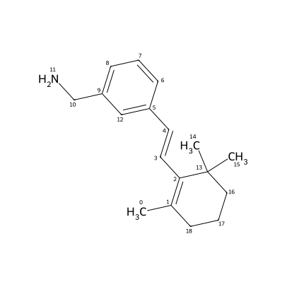 CC1=C(C=Cc2cccc(CN)c2)C(C)(C)CCC1